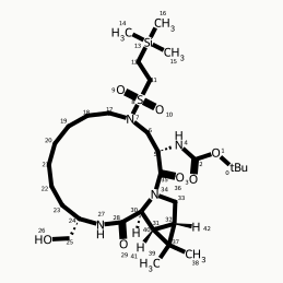 CC(C)(C)OC(=O)N[C@H]1CN(S(=O)(=O)CC[Si](C)(C)C)CCCCCCC[C@@H](CO)NC(=O)[C@@H]2[C@@H]3[C@H](CN2C1=O)C3(C)C